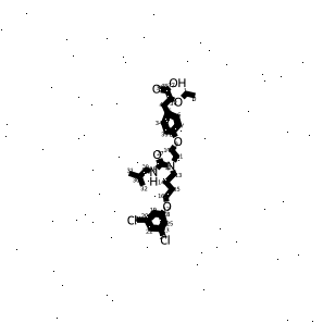 CCOC(Cc1ccc(OCCN(CCCCOc2cc(Cl)cc(Cl)c2)C(=O)NCC(C)C)cc1)C(=O)O